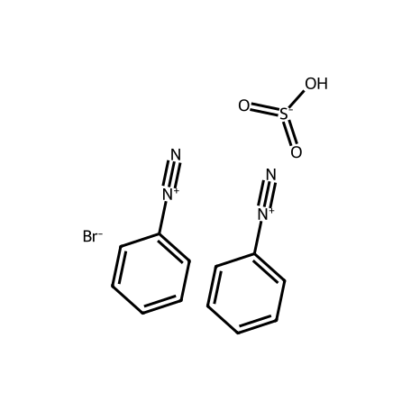 N#[N+]c1ccccc1.N#[N+]c1ccccc1.O=[S-](=O)O.[Br-]